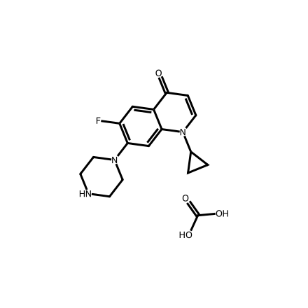 O=C(O)O.O=c1ccn(C2CC2)c2cc(N3CCNCC3)c(F)cc12